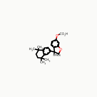 CCCCCCC1(c2ccc3c(c2)C(C)(C)CCC3(C)C)COc2cc(OC(=O)O)ccc21